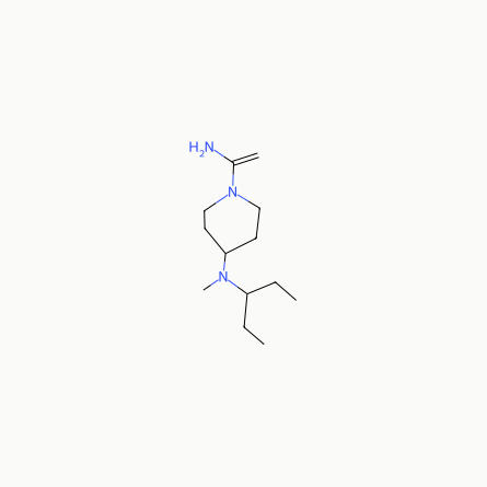 C=C(N)N1CCC(N(C)C(CC)CC)CC1